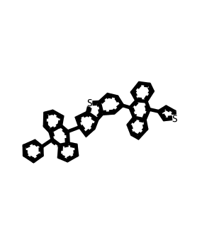 c1ccc(-c2c3ccccc3c(-c3ccc4c(c3)sc3ccc(-c5c6ccccc6c(-c6ccsc6)c6ccccc56)cc34)c3ccccc23)cc1